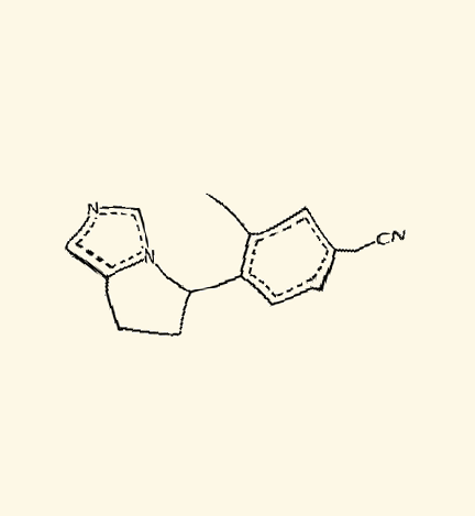 Cc1cc(C#N)ccc1C1CCc2cncn21